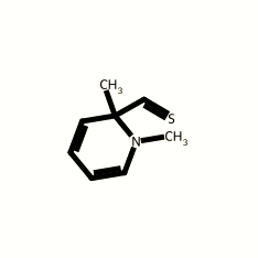 CN1C=CC=CC1(C)C=S